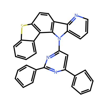 c1ccc(-c2cc(-n3c4cccnc4c4ccc5sc6ccccc6c5c43)nc(-c3ccccc3)n2)cc1